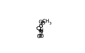 COC(=O)c1ccc2c(c1)CCCc1cn(C[C@H]3COCCO3)nc1-2